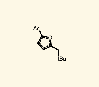 CC(=O)c1ccc(CC(C)(C)C)o1